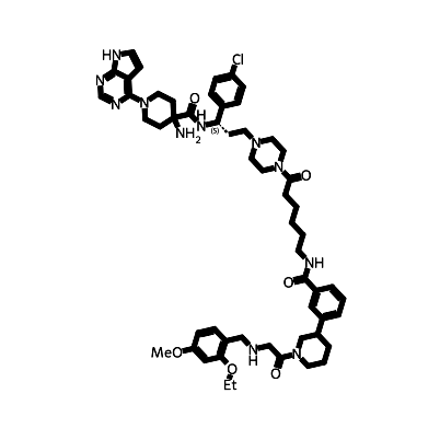 CCOc1cc(OC)ccc1CNCC(=O)N1CCCC(c2cccc(C(=O)NCCCCCC(=O)N3CCN(CC[C@H](NC(=O)C4(N)CCN(c5ncnc6[nH]ccc56)CC4)c4ccc(Cl)cc4)CC3)c2)C1